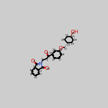 O=C(CCN1C(=O)c2ccccc2C1=O)c1cccc(OC[C@H]2CC[C@H](O)CC2)c1